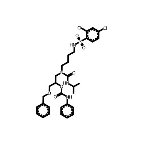 CC(C)NC(=O)N(CCCCNS(=O)(=O)c1ccc(Cl)cc1Cl)CC(COCc1ccccc1)OC(=O)Nc1ccccc1